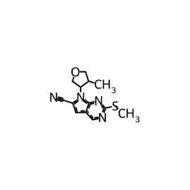 CSc1ncc2cc(C#N)n(C3COCC3C)c2n1